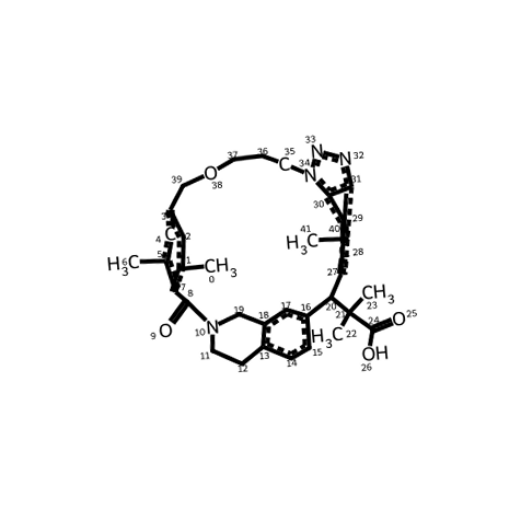 Cc1cc2cc(C)c1C(=O)N1CCc3ccc(cc3C1)C(C(C)(C)C(=O)O)c1ccc3c(nnn3CCCOC2)c1C